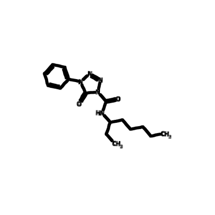 CCCCCC(CC)NC(=O)n1nnn(-c2ccccc2)c1=O